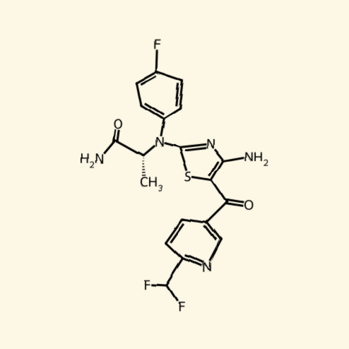 C[C@H](C(N)=O)N(c1ccc(F)cc1)c1nc(N)c(C(=O)c2ccc(C(F)F)nc2)s1